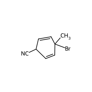 CC1(Br)C=CC(C#N)C=C1